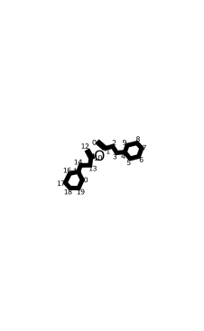 C=C(CCC1CCCCC1)OC(=C)CCC1CCCCC1